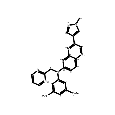 COc1cc(OC)cc(N(Cc2ncccn2)c2ccc3ncc(-c4cnn(C)c4)nc3n2)c1